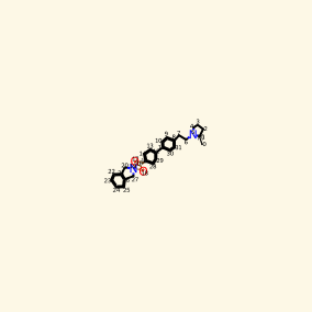 C[C@@H]1CCCN1CCc1ccc(-c2ccc(S(=O)(=O)N3Cc4ccccc4C3)cc2)cc1